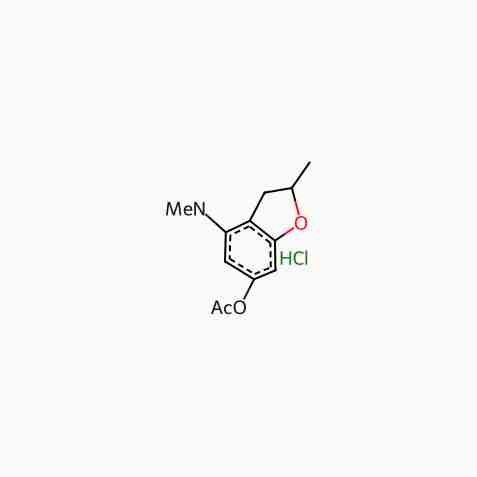 CNc1cc(OC(C)=O)cc2c1CC(C)O2.Cl